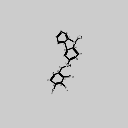 CCn1c2ccccc2c2cc(NCc3ccc(F)c(F)c3F)ccc21